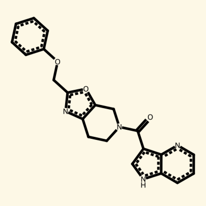 O=C(c1c[nH]c2cccnc12)N1CCc2nc(COc3ccccc3)oc2C1